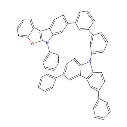 c1ccc(-c2ccc3c(c2)c2cc(-c4ccccc4)ccc2n3-c2cccc(-c3cccc(-c4ccc5c6c7ccccc7oc6n(-c6ccccc6)c5c4)c3)c2)cc1